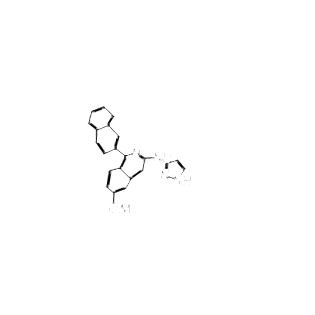 COc1ccc2c(-c3ccc4ccccc4c3)nc(Nc3cc[nH]n3)cc2c1